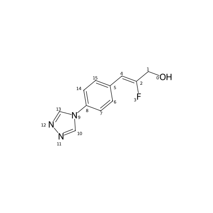 OCC(F)=Cc1ccc(-n2cnnc2)cc1